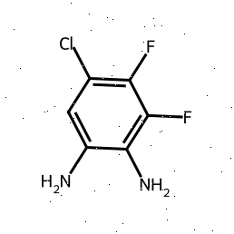 Nc1cc(Cl)c(F)c(F)c1N